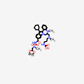 COC(CN(C)S(=O)(=O)NC(=O)c1ccc2c(C3CCCCC3)c3n(c2c1)CC(CN(C)CCCNC(=O)O)N(C)c1ccccc1-3)OC